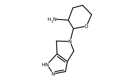 NC1CCCOC1N1Cc2cn[nH]c2C1